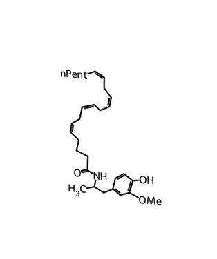 CCCCC/C=C\C/C=C\C/C=C\C/C=C\CCCC(=O)NC(C)Cc1ccc(O)c(OC)c1